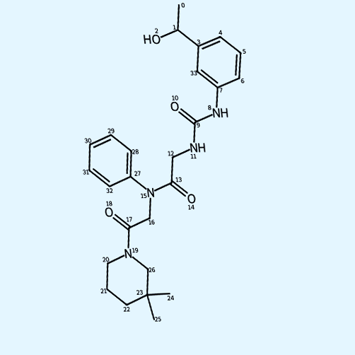 CC(O)c1cccc(NC(=O)NCC(=O)N(CC(=O)N2CCCC(C)(C)C2)c2ccccc2)c1